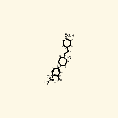 CS(=O)(=O)c1ccc(N2CC[N+]([O-])(CCC3CCN(C(=O)O)CC3)CC2)cc1F